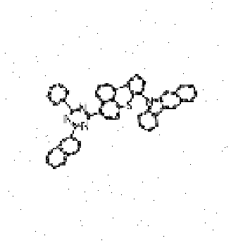 c1ccc(-c2nc(-c3ccc4ccccc4c3)nc(-c3ccc4c5c(cccc35)-c3cccc(-n5c6ccccc6c6cc7ccccc7cc65)c3S4)n2)cc1